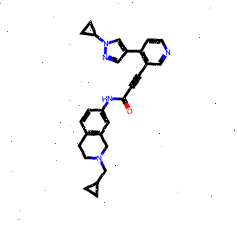 O=C(C#Cc1cnccc1-c1cnn(C2CC2)c1)Nc1ccc2c(c1)CN(CC1CC1)CC2